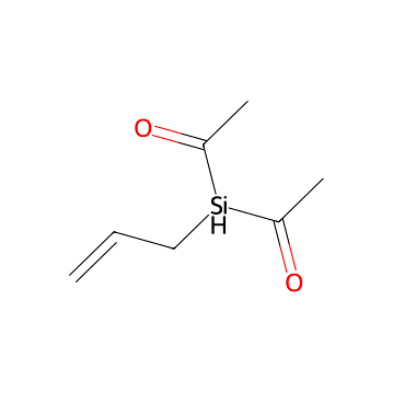 C=CC[SiH](C(C)=O)C(C)=O